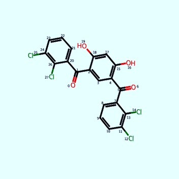 O=C(c1cc(C(=O)c2cccc(Cl)c2Cl)c(O)cc1O)c1cccc(Cl)c1Cl